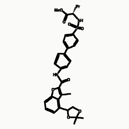 COC(=O)[C@@H](NS(=O)(=O)c1ccc(-c2ccc(NC(=O)c3oc4cccc(C5COC(C)(C)O5)c4c3C)cc2)cc1)C(C)C